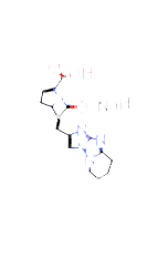 O=C(O)C1=CCC2C(=Cc3cn4c(n3)nc3n4CCCC3)C(=O)N12.[NaH]